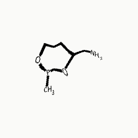 CP1OCCC(N)O1